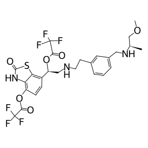 COC[C@@H](C)NCc1cccc(CCNC[C@H](OC(=O)C(F)(F)F)c2ccc(OC(=O)C(F)(F)F)c3[nH]c(=O)sc23)c1